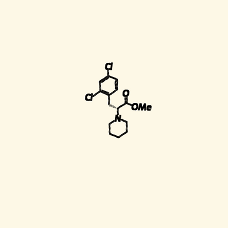 COC(=O)[C@@H](Cc1ccc(Cl)cc1Cl)N1CCCCC1